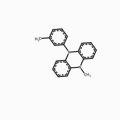 Cc1cccc(N2c3ccccc3N(C)c3ccccc32)c1